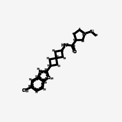 CSN1CCC(C(=O)NC2CC3(C2)CC(c2nc4cc(Cl)ccc4o2)C3)C1